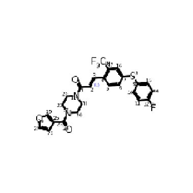 O=C(/C=C/c1ccc(Sc2ccc(F)cc2)cc1C(F)(F)F)N1CCN(C(=O)c2ccoc2)CC1